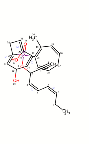 C#CC(/C=C\C=C/CC)OP(=O)(C1=C(C)C=CCC=C1)/C1=C\C(O)/C=C\C(O)=C\C1